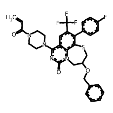 C=CC(=O)N1CCN(c2nc(=O)n3c4c(c(-c5ccc(F)cc5)c(C(F)(F)F)cc24)SCC(OCc2ccccc2)C3)CC1